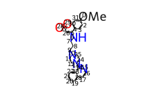 COc1ccc2c(NCCCN3CCN(c4nccc5ccccc45)CC3)cc(=O)oc2c1